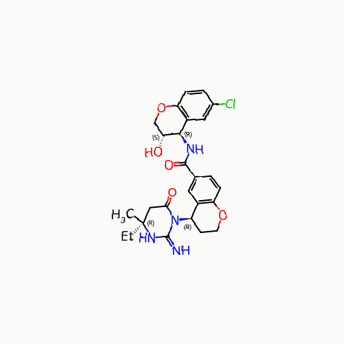 CC[C@]1(C)CC(=O)N([C@@H]2CCOc3ccc(C(=O)N[C@@H]4c5cc(Cl)ccc5OC[C@H]4O)cc32)C(=N)N1